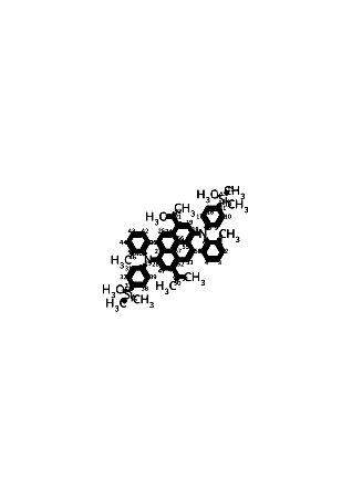 Cc1ccccc1N(c1ccc([Si](C)(C)C)cc1)c1cc(C(C)C)c2ccc3c(N(c4ccc([Si](C)(C)C)cc4)c4ccccc4C)cc(C(C)C)c4ccc1c2c43